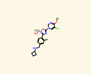 Cc1cc(CNC2CCC2)ccc1-c1noc(N2C=C(Cl)C(OC(C)C)=NC2)n1.O=CO